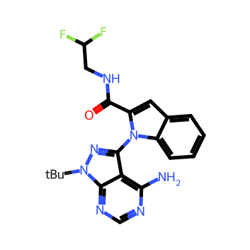 CC(C)(C)n1nc(-n2c(C(=O)NCC(F)F)cc3ccccc32)c2c(N)ncnc21